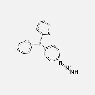 [N-]=[N+]=N.c1ccc(P(c2ccccc2)c2ccccc2)cc1